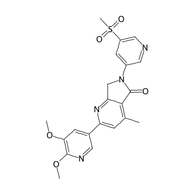 COc1cc(-c2cc(C)c3c(n2)CN(c2cncc(S(C)(=O)=O)c2)C3=O)cnc1OC